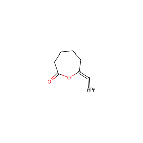 CCCC=C1CCCCC(=O)O1